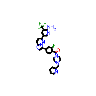 Nc1ncc(-c2ccc3ncc(-c4ccc(C(=O)N5CCN(Cc6ccccn6)CC5)c(F)c4)n3n2)cc1C(F)(F)F